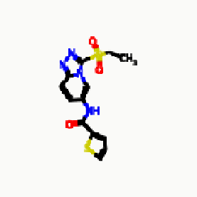 CCS(=O)(=O)c1nnc2ccc(NC(=O)c3cccs3)cn12